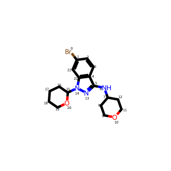 Brc1ccc2c(NC3CCOCC3)nn(C3CCCCO3)c2c1